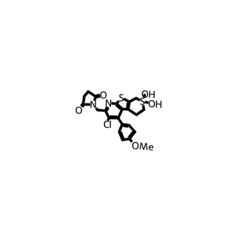 COc1ccc(-c2c(Cl)c(CN3C(=O)CCC3=O)nc3sc4c(c23)CCS(O)(O)C4)cc1